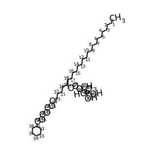 CCCCCCCCCCCCCCCCCCC=C(CCCCOOOOOOOC1CCCCC1)OOOC.O=P(O)(O)O